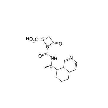 C[C@@H](NC(=O)N1C(=O)C[C@H]1C(=O)O)C1CCCC2C=CN=CC21